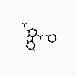 O=C(Nc1ccccn1)c1ccc(OC(F)F)c2oc3ccc(C(F)(F)F)cc3c12